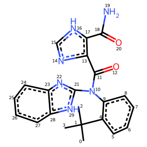 CC(C)(C)c1ccccc1N(C(=O)c1nc[nH]c1C(N)=O)c1nc2ccccc2[nH]1